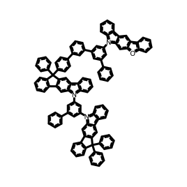 c1ccc(-c2cc(-c3cccc(-c4ccc(C5(c6ccccc6)c6ccccc6-c6cc7c(cc65)c5ccccc5n7-c5cc(-c6ccccc6)cc(-n6c7ccccc7c7cc8c(cc76)-c6ccccc6C8(c6ccccc6)c6ccccc6)c5)cc4)c3)cc(-n3c4ccccc4c4cc5c(cc43)oc3ccccc35)c2)cc1